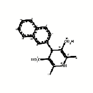 CC1=C(C(=O)O)C(c2ccc3ccccc3c2)C(C(=O)O)=C(C)N1